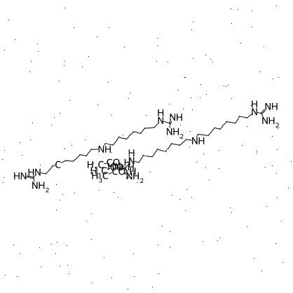 CC(=O)O.CC(=O)O.CC(=O)O.N=C(N)NCCCCCCCCNCCCCCCCCNC(=N)N.N=C(N)NCCCCCCCCNCCCCCCCCNC(=N)N